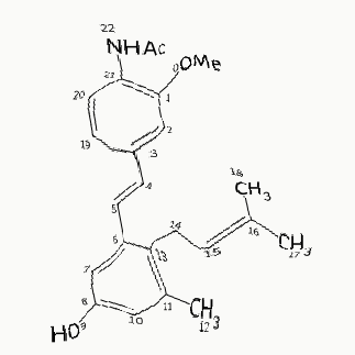 COc1cc(/C=C/c2cc(O)cc(C)c2CC=C(C)C)ccc1NC(C)=O